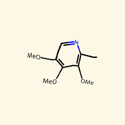 COc1cnc(C)c(OC)c1OC